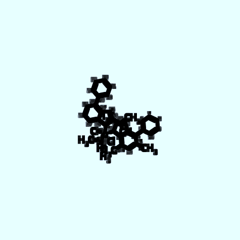 CC1=Cc2c(-c3ccccc3)c(C)cc(C)c2[CH]1[Zr]([Cl])([Cl])([CH]1C(C(C)C)=Cc2c(-c3ccccc3)cccc21)[SiH](C)C